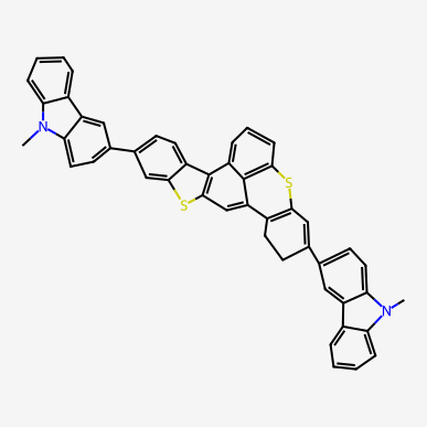 Cn1c2ccccc2c2cc(C3=CC4=C(CC3)c3cc5sc6cc(-c7ccc8c(c7)c7ccccc7n8C)ccc6c5c5cccc(c35)S4)ccc21